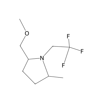 COCC1CCC(C)N1CC(F)(F)F